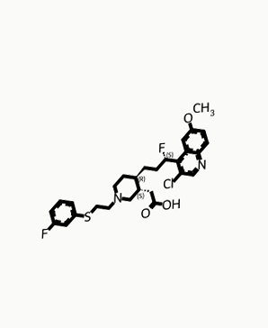 COc1ccc2ncc(Cl)c([C@@H](F)CC[C@@H]3CCN(CCSc4cccc(F)c4)C[C@H]3CC(=O)O)c2c1